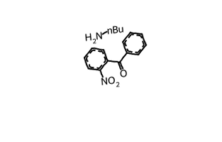 CCCCN.O=C(c1ccccc1)c1ccccc1[N+](=O)[O-]